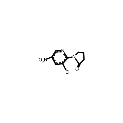 O=C1CCCN1c1ncc([N+](=O)[O-])cc1Cl